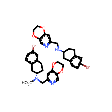 Brc1ccc2c(c1)CC[C@H](NCc1cc3c(cn1)OCCO3)C2.O=C(O)N(Cc1cc2c(cn1)OCCO2)[C@H]1CCc2cc(Br)ccc2C1